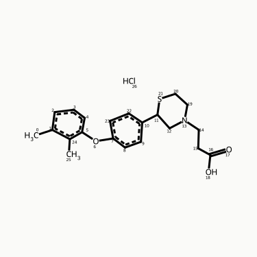 Cc1cccc(Oc2ccc(C3CN(CCC(=O)O)CCS3)cc2)c1C.Cl